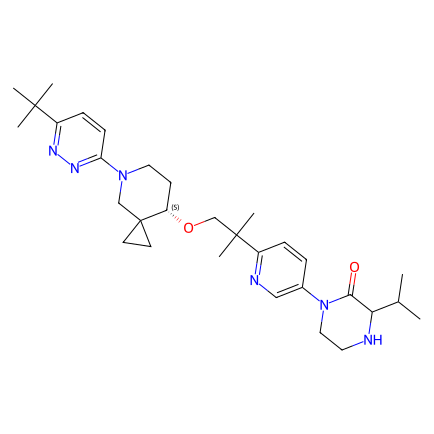 CC(C)C1NCCN(c2ccc(C(C)(C)CO[C@H]3CCN(c4ccc(C(C)(C)C)nn4)CC34CC4)nc2)C1=O